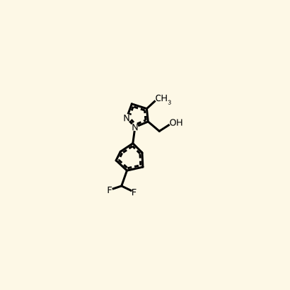 Cc1cnn(-c2ccc(C(F)F)cc2)c1CO